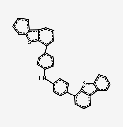 c1ccc2c(c1)sc1c(-c3ccc(Nc4ccc(-c5cccc6c5sc5ccccc56)cc4)cc3)cccc12